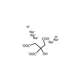 O=C([O-])CC(O)(CC(=O)[O-])C(=O)[O-].[H-].[H-].[Na+].[Na+].[Na+].[Na+].[Na+]